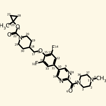 CN1CCN(C(=O)c2ncc(-c3cc(F)c(OCC4CCN(C(=O)OC5(C)CC5)CC4)c(F)c3)cn2)CC1